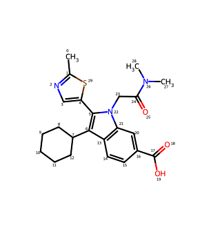 Cc1ncc(-c2c(C3CCCCC3)c3ccc(C(=O)O)cc3n2CC(=O)N(C)C)s1